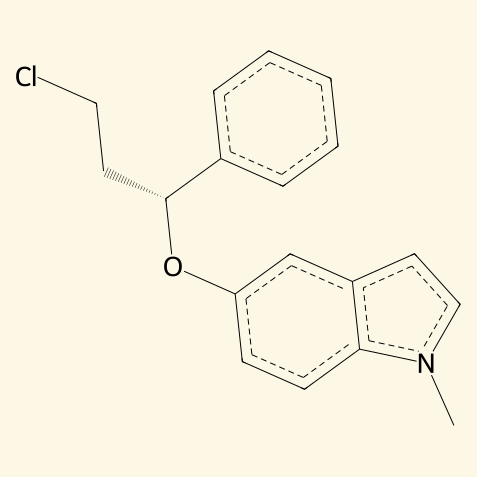 Cn1ccc2cc(O[C@H](CCCl)c3ccccc3)ccc21